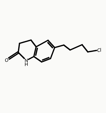 O=C1CCc2cc(CCCCCl)ccc2N1